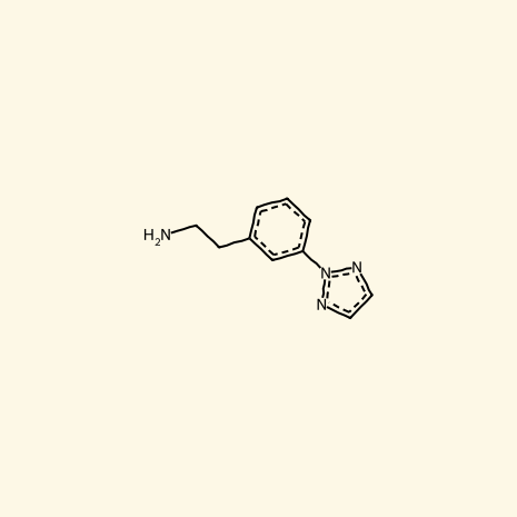 NCCc1cccc(-n2nccn2)c1